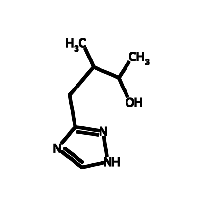 CC(O)C(C)Cc1nc[nH]n1